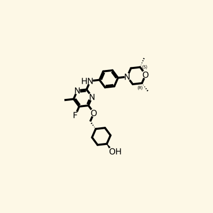 Cc1nc(Nc2ccc(N3C[C@@H](C)O[C@@H](C)C3)cc2)nc(OC[C@H]2CC[C@H](O)CC2)c1F